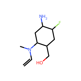 C=CN(C)C1CC(N)C(F)CC1CO